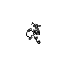 CO[C@@H]1[C@@H](O[C@@H]2O[C@H](C)[C@@H](OC3CC(C)(O)C(OC(=O)CC(C)C)C(C)O3)[C@H](N(C)C)[C@H]2O)[C@@H](CCNCCCc2ccccc2)C[C@@H](C)C(=O)C=CC=CC[C@@H](C)OC(=O)C[C@@H]1O